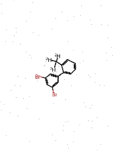 [2H]C([2H])([2H])c1ccccc1-c1cc(Br)cc(Br)c1